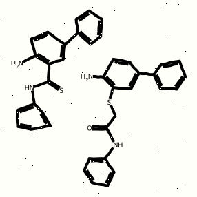 Nc1ccc(-c2ccccc2)cc1C(=S)Nc1ccccc1.Nc1ccc(-c2ccccc2)cc1SCC(=O)Nc1ccccc1